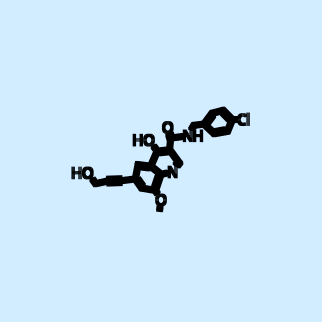 COc1cc(C#CCO)cc2c(O)c(C(=O)NCc3ccc(Cl)cc3)cnc12